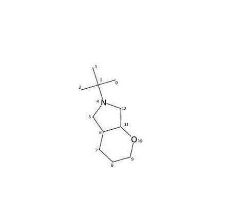 CC(C)(C)N1CC2CCCOC2C1